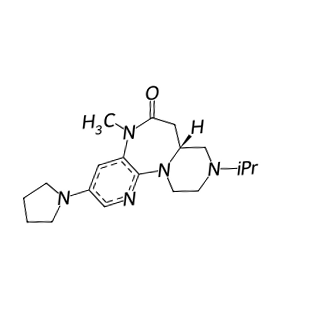 CC(C)N1CCN2c3ncc(N4CCCC4)cc3N(C)C(=O)C[C@@H]2C1